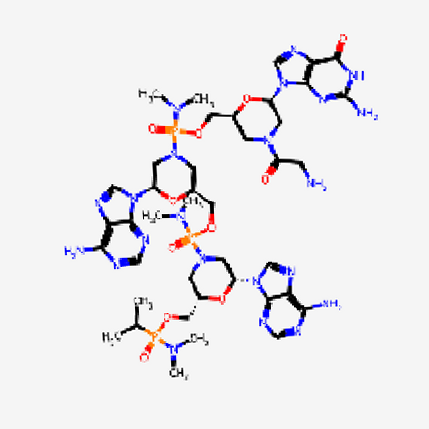 CC(C)P(=O)(OC[C@@H]1CN(P(=O)(OC[C@@H]2CN(P(=O)(OC[C@@H]3CN(C(=O)CN)C[C@H](n4cnc5c(=O)[nH]c(N)nc54)O3)N(C)C)C[C@H](n3cnc4c(N)ncnc43)O2)N(C)C)C[C@H](n2cnc3c(N)ncnc32)O1)N(C)C